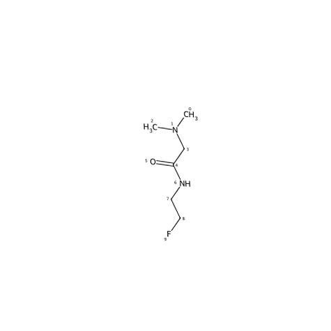 CN(C)CC(=O)NCCF